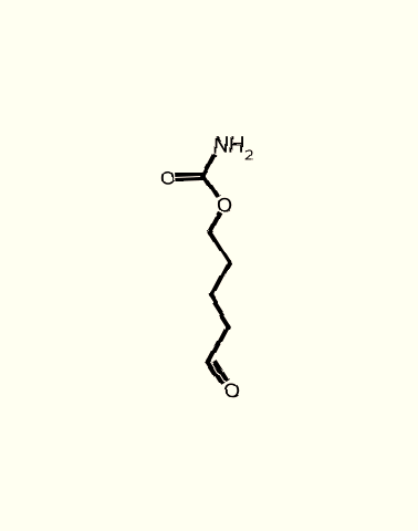 NC(=O)OCCCCC=O